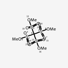 COS(=O)(=O)C(S(=O)(=O)OC)(S(=O)(=O)OC)S(=O)(=O)OC